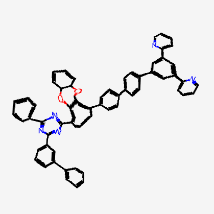 C1=CC2Oc3c(-c4ccc(-c5ccc(-c6cc(-c7ccccn7)cc(-c7ccccn7)c6)cc5)cc4)ccc(-c4nc(-c5ccccc5)nc(-c5cccc(-c6ccccc6)c5)n4)c3OC2C=C1